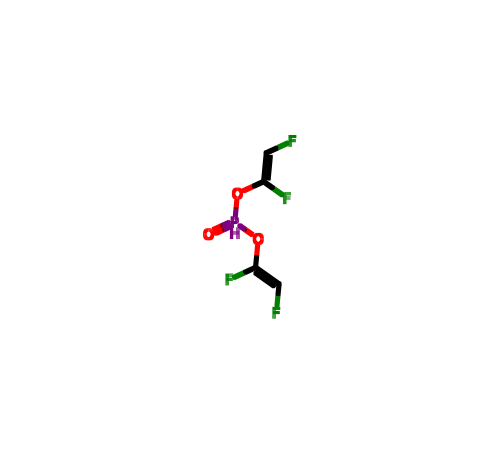 O=[PH](OC(F)=CF)OC(F)=CF